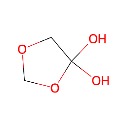 OC1(O)COCO1